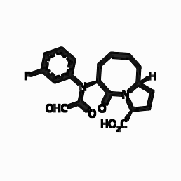 O=CC(=O)N(c1cccc(F)c1)[C@H]1CC=CC[C@@H]2CC[C@@H](C(=O)O)N2C1=O